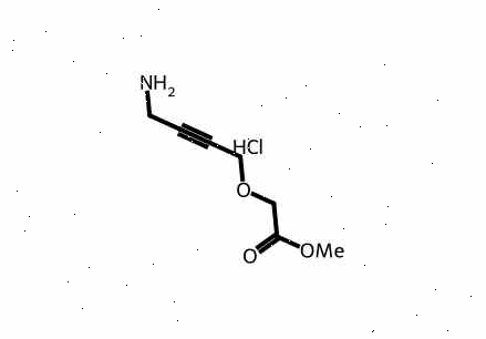 COC(=O)COCC#CCN.Cl